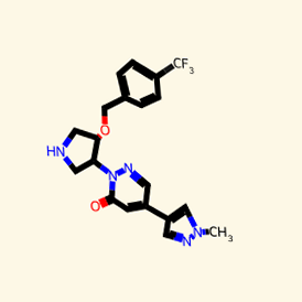 Cn1cc(-c2cnn(C3CNCC3OCc3ccc(C(F)(F)F)cc3)c(=O)c2)cn1